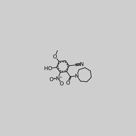 COc1cc(C#N)c(C(=O)N2CCCCCC2)c([N+](=O)[O-])c1O